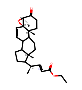 CCOC(=O)/C=C/[C@@H](C)C1CCC2C3C=C[C@]45O[C@H]4C(=O)CC[C@]5(C)C3CC[C@@]21C